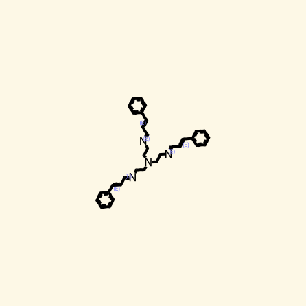 C(=C\c1ccccc1)/C=N/CCN(CC/N=C/C=C/c1ccccc1)CC/N=C/C=C/c1ccccc1